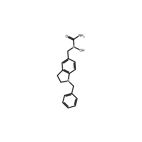 NC(=O)N(O)Cc1ccc2c(c1)CCN2Cc1ccccc1